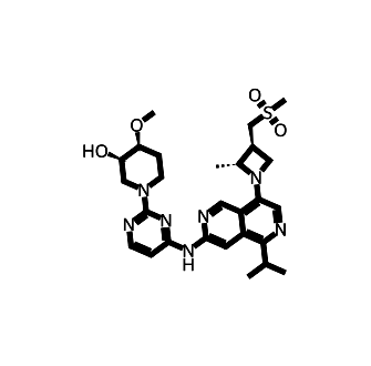 CO[C@H]1CCN(c2nccc(Nc3cc4c(C(C)C)ncc(N5C[C@H](CS(C)(=O)=O)[C@H]5C)c4cn3)n2)C[C@H]1O